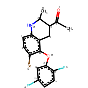 CC(=O)C1Cc2c(ccc(Br)c2Oc2cc(F)ccc2F)NC1C